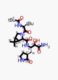 CC(C)(C)C(=O)N[C@H](C(=O)N1CC2C(C1C(=O)N[C@@H](C[C@@H]1CCNC1=O)C(O)C(N)=O)C2(C)C)C(C)(C)C